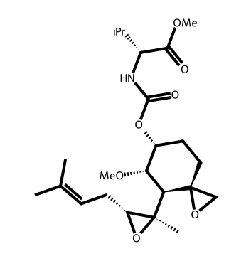 COC(=O)[C@H](NC(=O)O[C@@H]1CC[C@]2(CO2)[C@@H]([C@@]2(C)O[C@@H]2CC=C(C)C)[C@@H]1OC)C(C)C